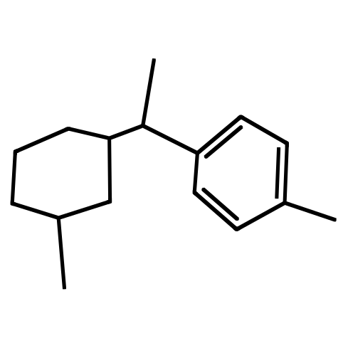 Cc1ccc(C(C)C2CCCC(C)C2)cc1